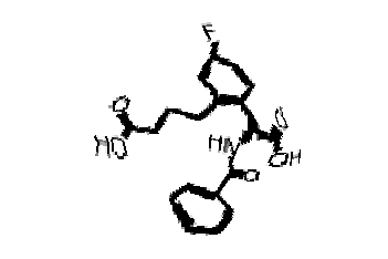 O=C(O)CCCc1cc(F)ccc1C(NC(=O)c1ccccc1)C(=O)O